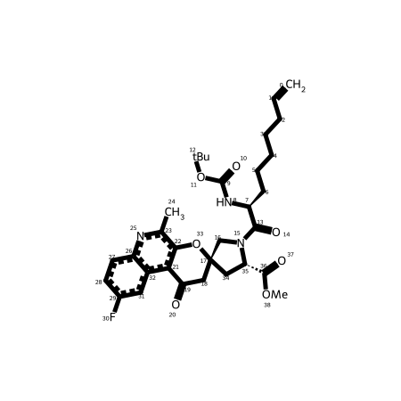 C=CCCCCC[C@H](NC(=O)OC(C)(C)C)C(=O)N1C[C@]2(CC(=O)c3c(c(C)nc4ccc(F)cc34)O2)C[C@H]1C(=O)OC